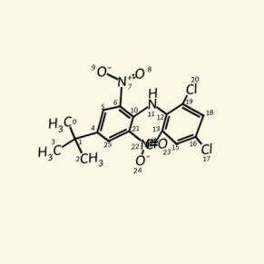 CC(C)(C)c1cc([N+](=O)[O-])c(Nc2c(Cl)cc(Cl)cc2Cl)c([N+](=O)[O-])c1